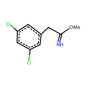 COC(=N)Cc1cc(Cl)cc(Cl)c1